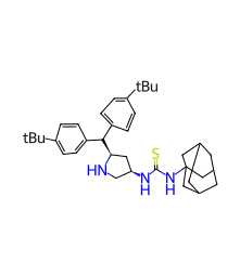 CC(C)(C)c1ccc(C(c2ccc(C(C)(C)C)cc2)[C@H]2C[C@@H](NC(=S)NC34CC5CC(CC(C5)C3)C4)CN2)cc1